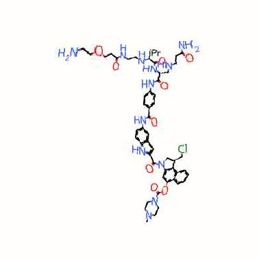 CC(C)[C@H](NCCNC(=O)CCOCCN)C(=O)N[C@@H](CNCCC(N)=O)C(=O)Nc1ccc(C(=O)Nc2ccc3[nH]c(C(=O)N4C[C@@H](CCl)c5c4cc(OC(=O)N4CCN(C)CC4)c4ccccc54)cc3c2)cc1